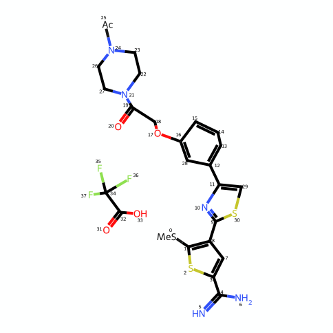 CSc1sc(C(=N)N)cc1-c1nc(-c2cccc(OCC(=O)N3CCN(C(C)=O)CC3)c2)cs1.O=C(O)C(F)(F)F